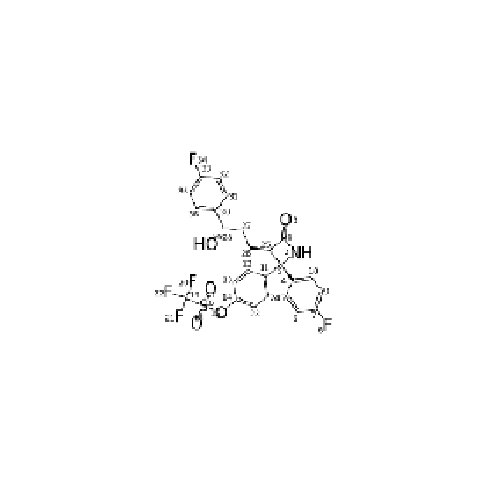 O=C1N[C@](c2ccc(F)cc2)(c2ccc(OS(=O)(=O)C(F)(F)F)cc2)[C@H]1CC[C@H](O)c1ccc(F)cc1